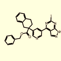 O=C(OCc1ccccc1)C1(c2cncc(-c3nc(I)nc4[nH]ncc34)c2)CCc2ccccc2C1